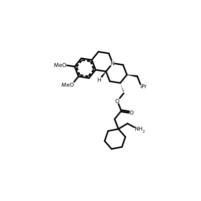 COc1cc2c(cc1OC)[C@H]1C[C@@H](COC(=O)CC3(CN)CCCCC3)[C@H](CC(C)C)CN1CC2